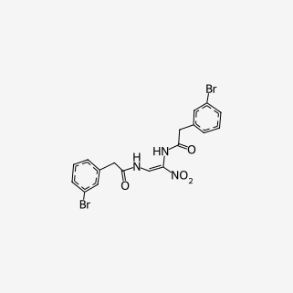 O=C(Cc1cccc(Br)c1)NC=C(NC(=O)Cc1cccc(Br)c1)[N+](=O)[O-]